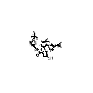 CC(C)(C)[C@@H](C(=O)N1CC(O)CC1C(=O)NCc1nnn(C(C)(C)C)n1)n1cc(C2CC2)nn1